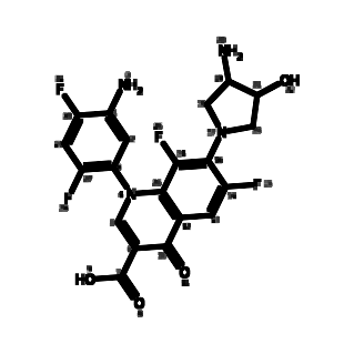 Nc1cc(-n2cc(C(=O)O)c(=O)c3cc(F)c(N4CC(N)C(O)C4)c(F)c32)c(F)cc1F